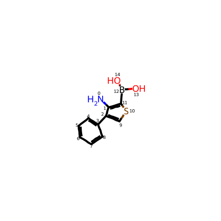 Nc1c(-c2ccccc2)csc1B(O)O